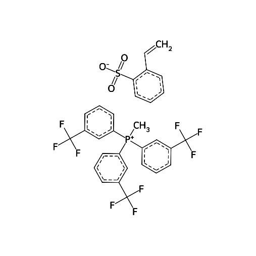 C=Cc1ccccc1S(=O)(=O)[O-].C[P+](c1cccc(C(F)(F)F)c1)(c1cccc(C(F)(F)F)c1)c1cccc(C(F)(F)F)c1